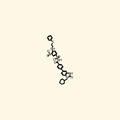 O=C(NS(=O)(=O)c1ccc(NCCSc2ccccc2)c([N+](=O)[O-])c1)c1ccc(-c2ccc3c(c2)[nH]c(=O)n3CC2CCCCC2)cc1